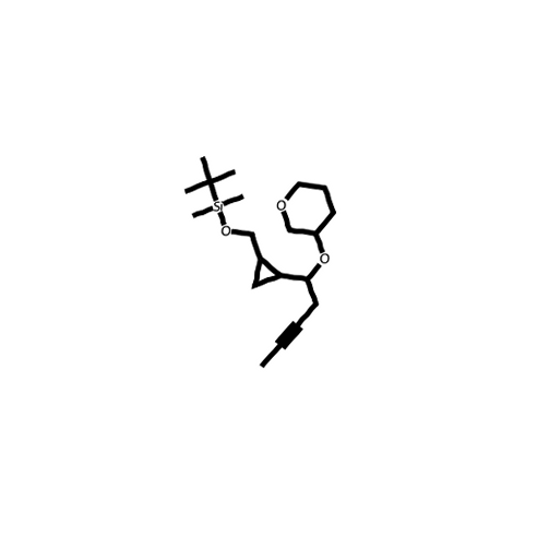 CC#CCC(OC1CCCOC1)C1CC1CO[Si](C)(C)C(C)(C)C